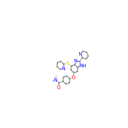 CN(C)C(=O)c1ccc(Oc2cc(Sc3ccccn3)c3nc(-c4ccccn4)[nH]c3c2)cc1